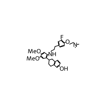 COc1cc(NCCCc2ccc(OCCN(C)C)c(F)c2)c(C2CCc3cc(O)ccc3C2)cc1OC